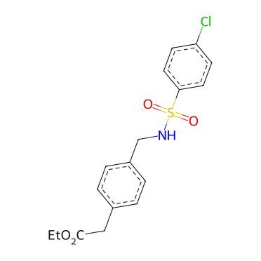 CCOC(=O)Cc1ccc(CNS(=O)(=O)c2ccc(Cl)cc2)cc1